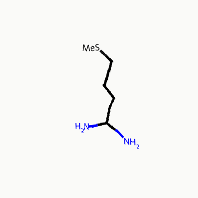 CSCCCC(N)N